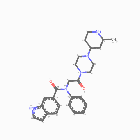 CC1CC(N2CCN(C(=O)CN(C(=O)c3ccc4cc[nH]c4c3)c3ccccc3)CC2)CCN1